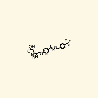 C/C(=N\OCc1ccc(C(F)(F)F)cc1)c1ccc(OCc2nnnn2CC(=O)O)nc1